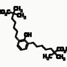 CC(C)(CCCCCc1cccc(CCCCCC(C)(C)C(=O)O)c1O)C(=O)O